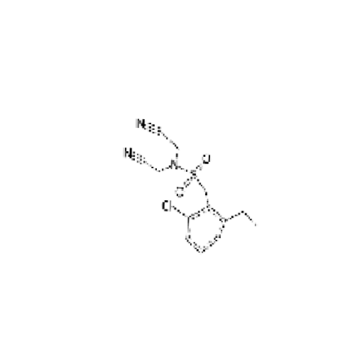 CCc1cccc(Cl)c1CS(=O)(=O)N(CC#N)CC#N